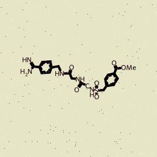 COC(=O)c1ccc(CS(=O)(=O)NCC(=O)NCC(=O)NCc2ccc(C(=N)N)cc2)cc1